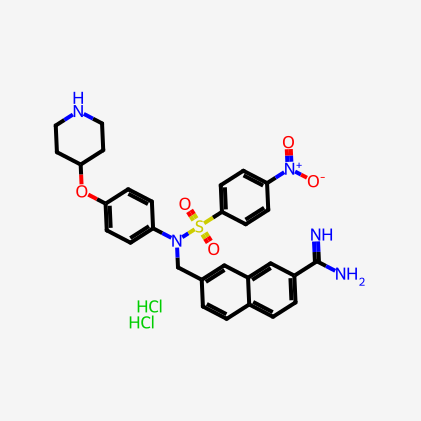 Cl.Cl.N=C(N)c1ccc2ccc(CN(c3ccc(OC4CCNCC4)cc3)S(=O)(=O)c3ccc([N+](=O)[O-])cc3)cc2c1